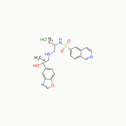 CC(CNC[C@](C)(O)c1ccc2ocnc2c1)NS(=O)(=O)c1ccc2cnccc2c1.Cl